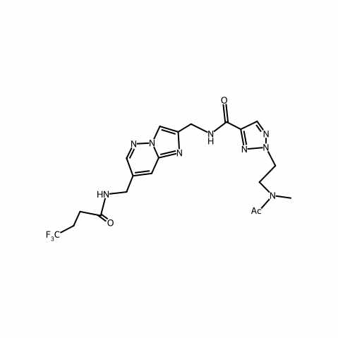 CC(=O)N(C)CCn1ncc(C(=O)NCc2cn3ncc(CNC(=O)CCC(F)(F)F)cc3n2)n1